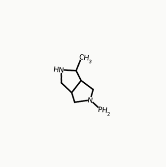 CC1NCC2CN(P)CC21